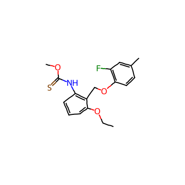 CCOc1cccc(NC(=S)OC)c1COc1ccc(C)cc1F